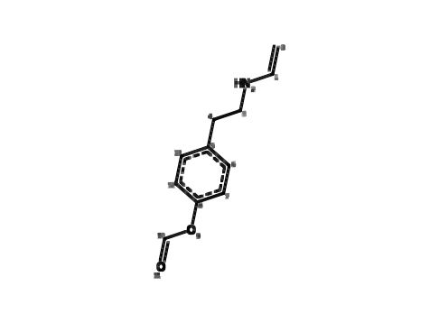 C=CNCCc1ccc(OC=O)cc1